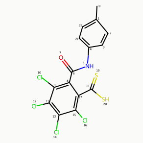 Cc1ccc(NC(=O)c2c(Cl)c(Cl)c(Cl)c(Cl)c2C(=S)S)cc1